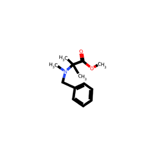 COC(=O)C(C)(C)N(C)Cc1ccccc1